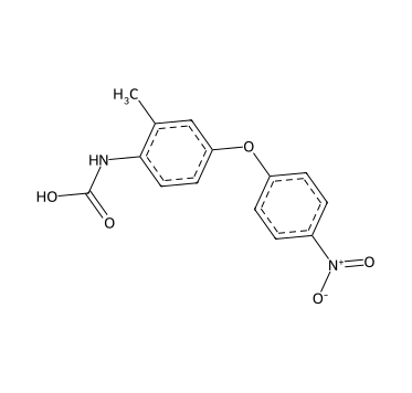 Cc1cc(Oc2ccc([N+](=O)[O-])cc2)ccc1NC(=O)O